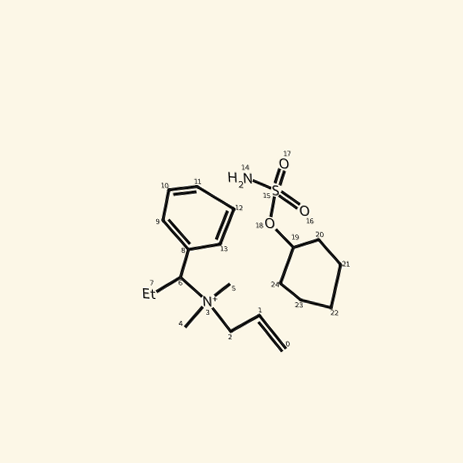 C=CC[N+](C)(C)C(CC)c1ccccc1.NS(=O)(=O)OC1CCCCC1